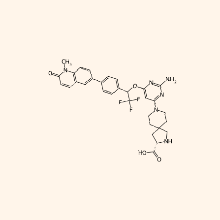 Cn1c(=O)ccc2cc(-c3ccc(C(Oc4cc(N5CCC6(CC5)CN[C@H](C(=O)O)C6)nc(N)n4)C(F)(F)F)cc3)ccc21